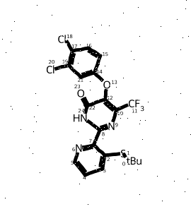 CC(C)(C)Sc1cccnc1-c1nc(C(F)(F)F)c(Oc2ccc(Cl)c(Cl)c2)c(=O)[nH]1